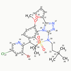 COc1cccc(OC)c1-n1c(-c2ccco2)nnc1N(CC[Si](C)(C)C)S(=O)(=O)C(C)Cc1ncc(Cl)cc1Br